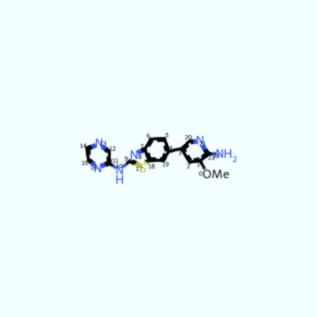 COc1cc(-c2ccc3nc(Nc4cnccn4)sc3c2)cnc1N